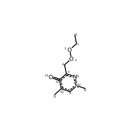 CCOOCc1nn(C)cc(C)c1=O